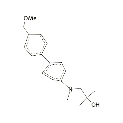 COCc1ccc(-c2ccc(N(C)CC(C)(C)O)cc2)cc1